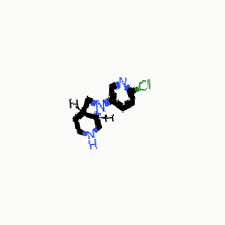 Clc1ccc(N2C[C@@H]3CCNC[C@@H]32)cn1